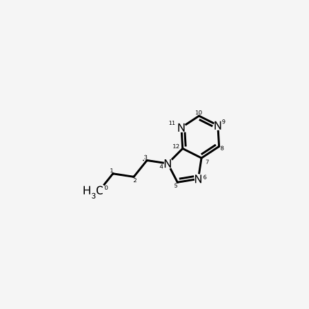 CCC[CH]n1cnc2cncnc21